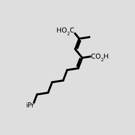 CC(=CC(=CCCCCCC(C)C)C(=O)O)C(=O)O